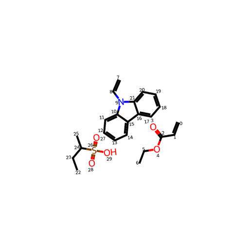 C=CC(=O)OCC.C=Cn1c2ccccc2c2ccccc21.CCC(C)S(=O)(=O)O